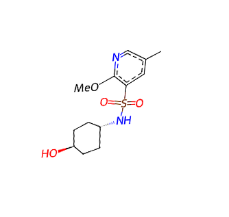 COc1ncc(C)cc1S(=O)(=O)N[C@H]1CC[C@H](O)CC1